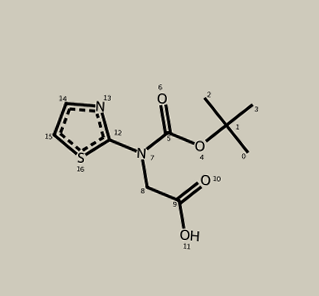 CC(C)(C)OC(=O)N(CC(=O)O)c1nccs1